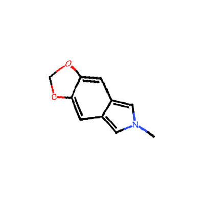 Cn1cc2cc3c(cc2c1)OCO3